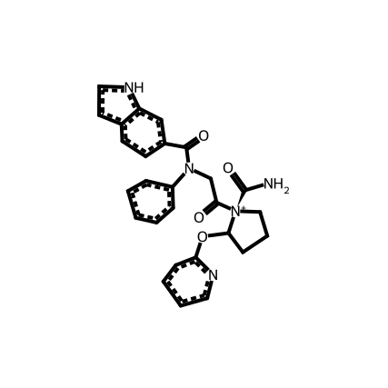 NC(=O)[N@@+]1(C(=O)CN(C(=O)c2ccc3cc[nH]c3c2)c2ccccc2)CCCC1Oc1ccccn1